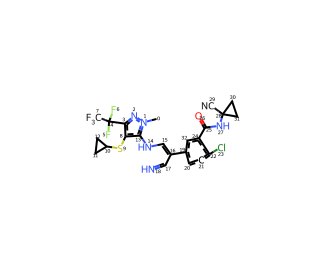 Cn1nc(C(F)(F)C(F)(F)F)c(SC2CC2)c1N/C=C(\C=N)c1ccc(Cl)c(C(=O)NC2(C#N)CC2)c1